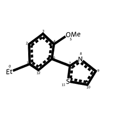 CCc1ccc(OC)c(-c2nccs2)c1